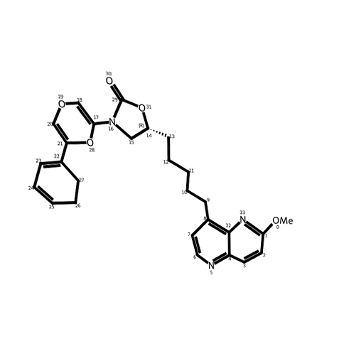 COc1ccc2nccc(CCCCC[C@@H]3CN(C4=COC=C(C5=CC=CCC5)O4)C(=O)O3)c2n1